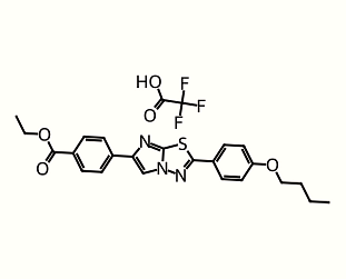 CCCCOc1ccc(-c2nn3cc(-c4ccc(C(=O)OCC)cc4)nc3s2)cc1.O=C(O)C(F)(F)F